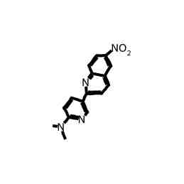 CN(C)c1ccc(-c2ccc3cc([N+](=O)[O-])ccc3n2)cn1